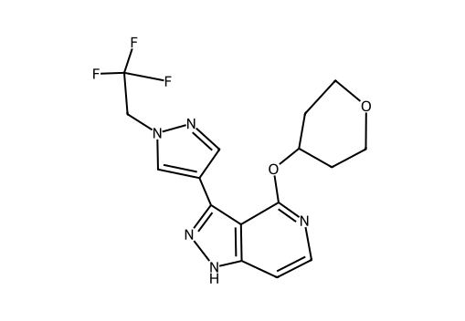 FC(F)(F)Cn1cc(-c2n[nH]c3ccnc(OC4CCOCC4)c23)cn1